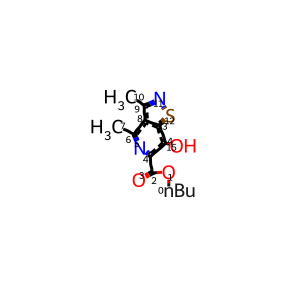 CCCCOC(=O)c1nc(C)c2c(C)nsc2c1O